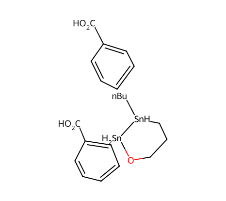 CCC[CH2][SnH]1[CH2]CC[O][SnH2]1.O=C(O)c1ccccc1.O=C(O)c1ccccc1